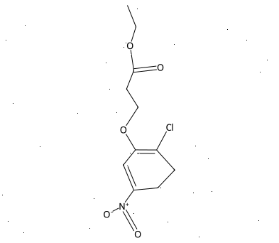 CCOC(=O)CCOC1=C(Cl)C[CH]C([N+](=O)[O-])=C1